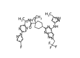 CO[C@]1(C(=O)N[C@@H](C)c2cnc(-n3cc(F)cn3)cn2)CC[C@H](c2nc(Nc3cc(C)[nH]n3)c3cn(CC(F)(F)F)nc3n2)CC1